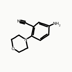 N#Cc1cc(N)ccc1N1CCOCC1